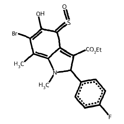 CCOC(=O)C1=C2C(=S=O)C(O)=C(Br)C(C)=C2N(C)C1c1ccc(F)cc1